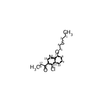 CCCSCCOc1cccc2c(Cl)c(C(=O)CC)cnc12